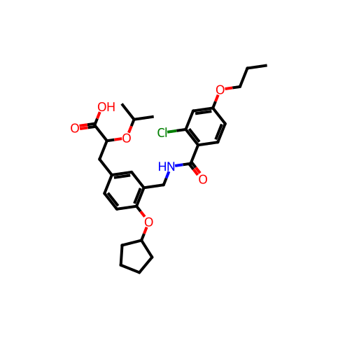 CCCOc1ccc(C(=O)NCc2cc(CC(OC(C)C)C(=O)O)ccc2OC2CCCC2)c(Cl)c1